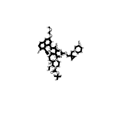 C#Cc1c(F)ccc2cc(OCOC)cc(-c3nc4c5c(nc(OCC6(CN7CCC[C@@H](F)C7)CC6)nc5c3F)N3CCN(C(=O)OC(C)(C)C)[C@@H](CC)[C@H]3CC4)c12